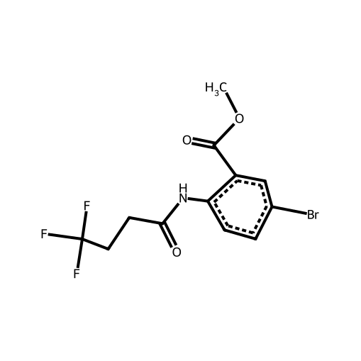 COC(=O)c1cc(Br)ccc1NC(=O)CCC(F)(F)F